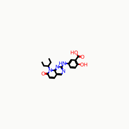 CCC(CC)n1c(=O)ccc2cnc(Nc3ccc(O)c(C(=O)O)c3)nc21